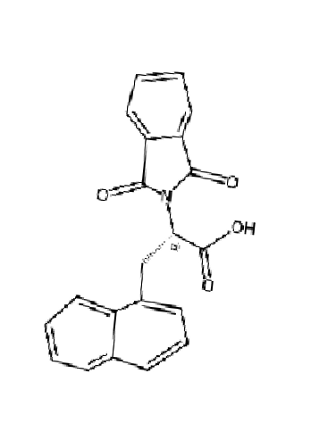 O=C(O)[C@H](Cc1cccc2ccccc12)N1C(=O)c2ccccc2C1=O